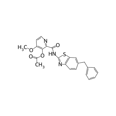 COc1ccnc(C(=O)Nc2nc3ccc(Cc4ccccc4)cc3s2)c1OC(C)=O